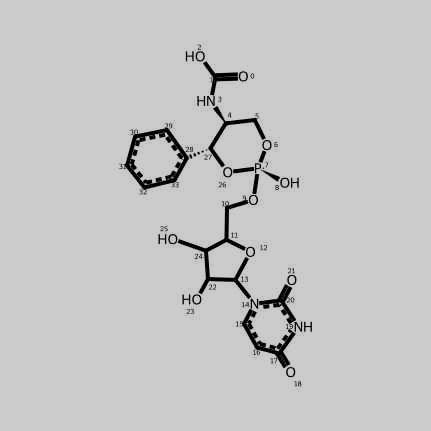 O=C(O)N[C@H]1CO[P@](O)(OCC2OC(n3ccc(=O)[nH]c3=O)C(O)C2O)O[C@@H]1c1ccccc1